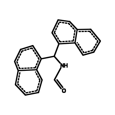 O=CNC(c1cccc2ccccc12)c1cccc2ccccc12